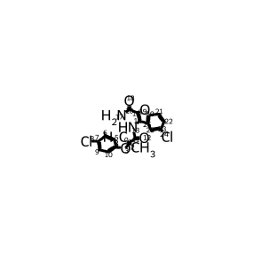 CC(C)(Oc1ccc(Cl)cc1)C(=O)Nc1c(C(N)=O)oc2ccc(Cl)cc12